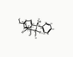 CCCC(F)C(F)(F)C(F)(F)P(=[Se])(c1ccccc1)c1ccccc1